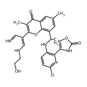 Cc1cc(C(C)Nc2ccc(Cl)nc2-c2noc(=O)[nH]2)c2oc(/C(C=N)=C/NCCO)c(C)c(=O)c2c1